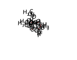 C=CC(=O)N1CCOC2(CCN(C(=O)N(C)[C@H](C(=O)N[C@H]3CN4CC(C4)c4ccc5c(c4)c(c(-c4cccnc4[C@H](C)OC)n5CC(F)(F)F)CC(C)(C)COC(=O)[C@@H]4CCCN(N4)C3=O)C(C)C)CC2)C1